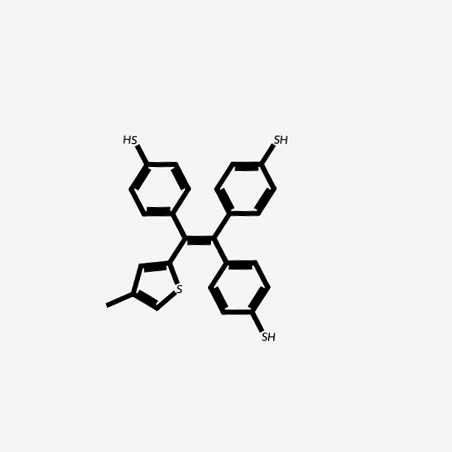 Cc1csc(C(=C(c2ccc(S)cc2)c2ccc(S)cc2)c2ccc(S)cc2)c1